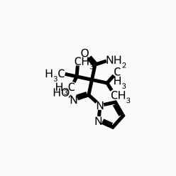 CC(C)C(C(N)=O)(C(=NO)n1cccn1)C(C)(C)C